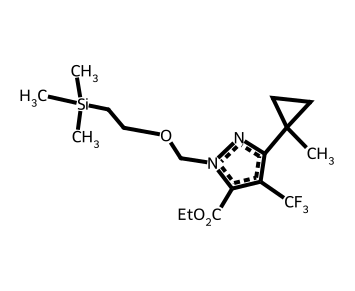 CCOC(=O)c1c(C(F)(F)F)c(C2(C)CC2)nn1COCC[Si](C)(C)C